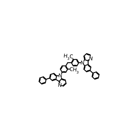 Cc1cc(-n2c3ccc(-c4ccccc4)cc3c3ncccc32)ccc1Cc1ccc(-n2c3ccc(-c4ccccc4)cc3c3ncccc32)cc1C